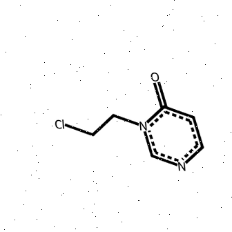 O=c1ccncn1CCCl